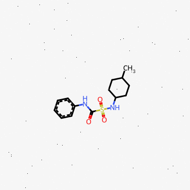 CC1CCC(NS(=O)(=O)C(=O)Nc2ccccc2)CC1